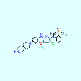 CP(C)(=O)c1ccccc1Nc1nc(Nc2ccc(N3CCC4(CCNCC4)CC3)cc2OC(F)F)ncc1Cl